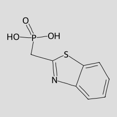 O=P(O)(O)Cc1nc2ccccc2s1